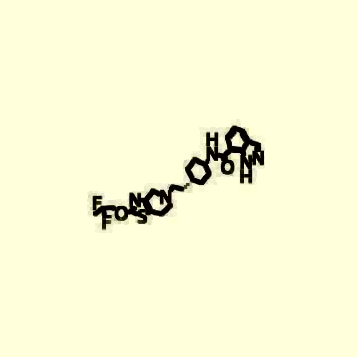 CC(F)(F)COc1nc2c(s1)CCN(CC[C@H]1CC[C@H](NC(=O)c3cccc4cn[nH]c34)CC1)C2